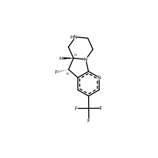 F[C@H]1c2cc(C(F)(F)F)cnc2N2CCNC[C@@H]12